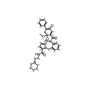 COC1(OC)CC(c2ccccc2)=C(Cl)C=C1C(=O)N1Cc2ccc(C(=O)NCCN3CCCCC3)n2Cc2ccccc21